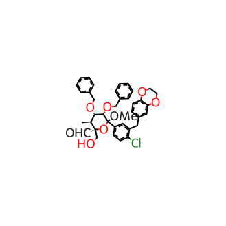 COC1(c2ccc(Cl)c(Cc3ccc4c(c3)OCCO4)c2)O[C@@](C=O)(CO)[C@@H](C)[C@H](OCc2ccccc2)[C@H]1OCc1ccccc1